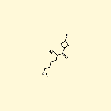 NCCCCC(N)C(=O)N1CC(F)C1